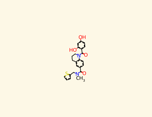 CN(Cc1cccs1)C(=O)c1ccc2c(c1)CCCN2C(=O)c1ccc(O)cc1O